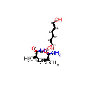 C=C(C)C(N)=O.C=C(C)C(N)=O.OCCCCCCO